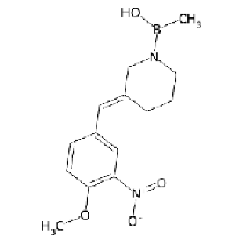 COc1ccc(C=C2CCCN(B(C)O)C2)cc1[N+](=O)[O-]